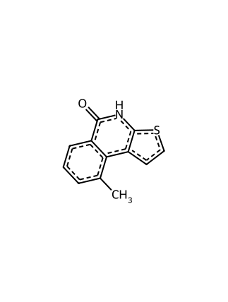 Cc1cccc2c(=O)[nH]c3sccc3c12